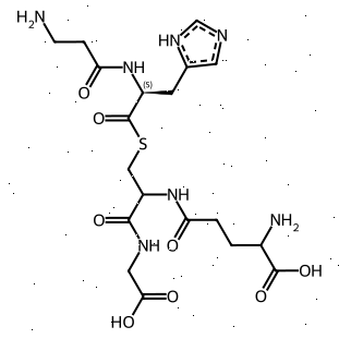 NCCC(=O)N[C@@H](Cc1cnc[nH]1)C(=O)SCC(NC(=O)CCC(N)C(=O)O)C(=O)NCC(=O)O